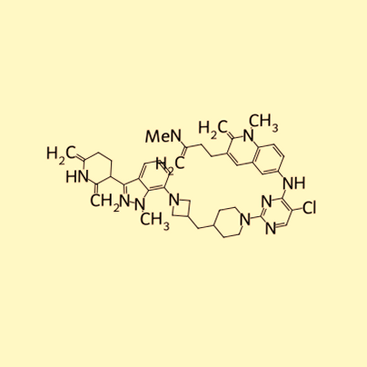 C=C(CCC1=Cc2cc(Nc3nc(N4CCC(CC5CN(c6cccc7c(C8CCC(=C)NC8=C)nn(C)c67)C5)CC4)ncc3Cl)ccc2N(C)C1=C)NC